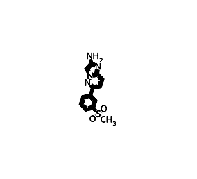 CS(=O)(=O)c1cccc(-c2ccc3nc(N)cn3n2)c1